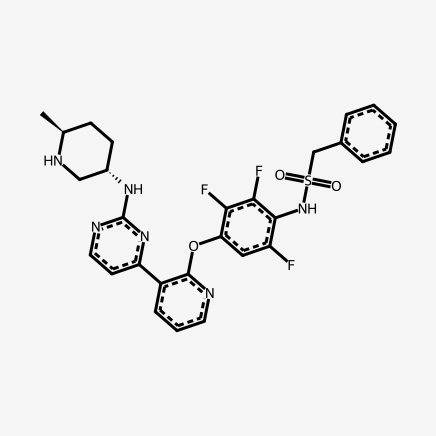 C[C@H]1CC[C@H](Nc2nccc(-c3cccnc3Oc3cc(F)c(NS(=O)(=O)Cc4ccccc4)c(F)c3F)n2)CN1